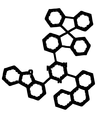 c1ccc2c(c1)-c1ccccc1C21c2ccccc2-c2c(-c3nc(-c4cccc5c4oc4ccccc45)nc(-c4cccc5ccc6ccccc6c45)n3)cccc21